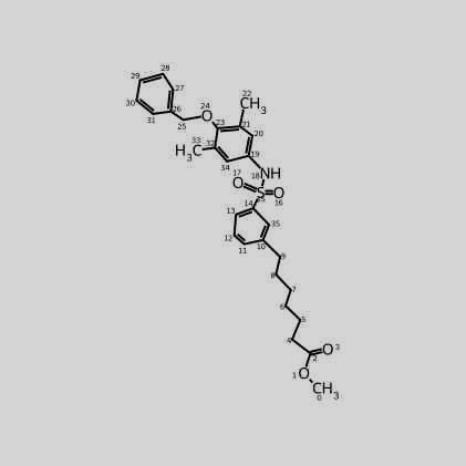 COC(=O)CCCCCCc1cccc(S(=O)(=O)Nc2cc(C)c(OCc3ccccc3)c(C)c2)c1